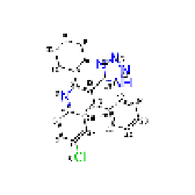 Clc1ccc2nc(C3CCCCC3)c(-c3nnn[nH]3)c(-c3ccccc3)c2c1